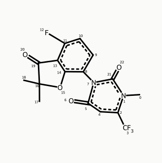 Cn1c(C(F)(F)F)cc(=O)n(-c2ccc(F)c3c2OC(C)(C)C3=O)c1=O